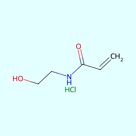 C=CC(=O)NCCO.Cl